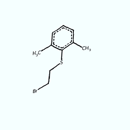 Cc1cccc(C)c1SCCBr